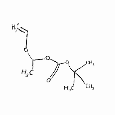 C=COC(C)OC(=O)OC(C)(C)C